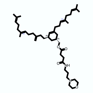 C=C(CC/C=C(\C)CCC=C(C)C)CC[C@H]1C=C(CC/C=C(\C)CCC=C(C)C)C[C@H](COC(=O)CCC(=O)NCCCN2CCOCC2)C1